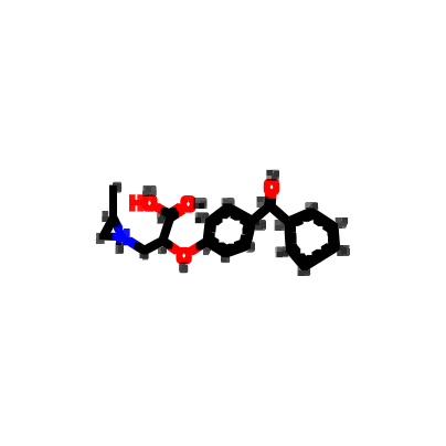 CC1CN1CC(Oc1ccc(C(=O)c2ccccc2)cc1)C(=O)O